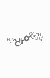 CC(C)(C)OC(=O)c1ccc(-c2cn3c(n2)C(CN)CCC3)cc1